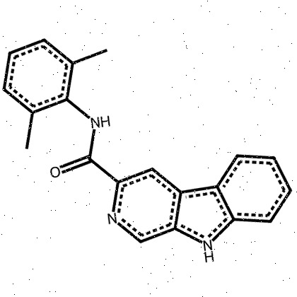 Cc1cccc(C)c1NC(=O)c1cc2c(cn1)[nH]c1ccccc12